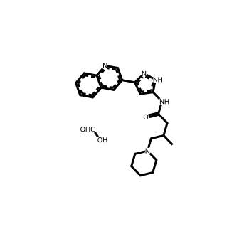 CC(CC(=O)Nc1cc(-c2cnc3ccccc3c2)n[nH]1)CN1CCCCC1.O=CO